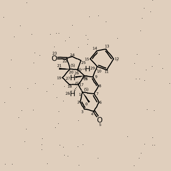 C[C@]12C=CC(=O)C=C1C=C(c1ccccc1)[C@@H]1[C@@H]2CC[C@]2(C)C(=O)CC[C@@H]12